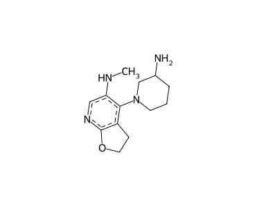 CNc1cnc2c(c1N1CCCC(N)C1)CCO2